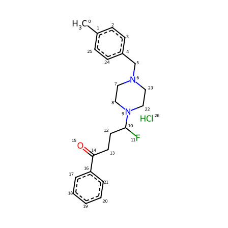 Cc1ccc(CN2CCN(C(F)CCC(=O)c3ccccc3)CC2)cc1.Cl